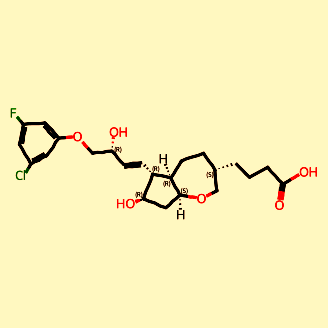 O=C(O)CCC[C@H]1CC[C@@H]2[C@@H](C=C[C@@H](O)COc3cc(F)cc(Cl)c3)[C@H](O)C[C@@H]2OC1